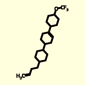 C=CCCC1CCC(C2CC=C(C3CCC(OC(F)(F)F)CC3)CC2)CC1